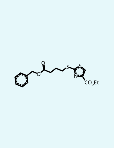 CCOC(=O)c1csc(SCCCC(=O)OCc2ccccc2)n1